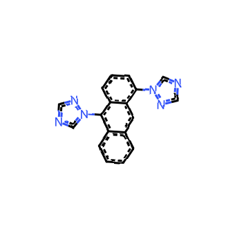 c1ccc2c(-n3cncn3)c3cccc(-n4cncn4)c3cc2c1